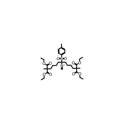 C#[N+]C(CCCCC(C)(C(=O)OCC)C(=O)OCC)(CCCCC(C)(C(=O)OCC)C(=O)OCC)S(=O)(=O)c1ccc(C)cc1